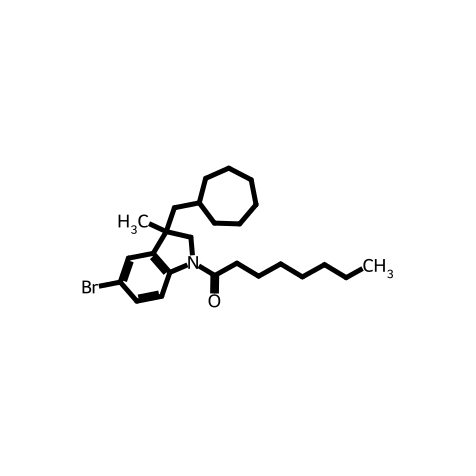 CCCCCCCC(=O)N1CC(C)(CC2CCCCCC2)c2cc(Br)ccc21